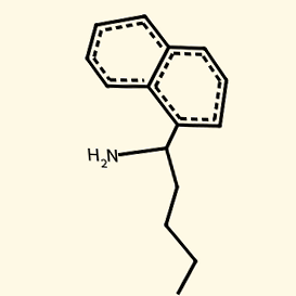 CCCCC(N)c1cccc2ccccc12